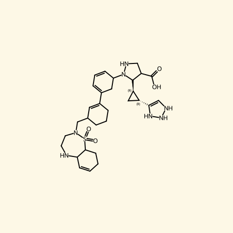 O=C(O)C1CNN(C2C=CC=C(C3=CC(CN4CCNC5C=CCCC5S4(=O)=O)CCC3)C2)C1[C@@H]1C[C@H]1C1=CNNN1